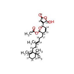 CC(=O)OC1O[C@@H](C2=CC(=O)OC2O)C=CC1CC/C=C(\C)CCC1=C(C)CCCC1(C)C